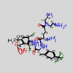 CC1(C)OB(O)c2c1cc(F)c(NC(=O)[C@@H](Cc1ccc(C(F)(F)F)cc1)NC(=O)[C@@H](N)CCC(=O)N(CCN)CCN)c2F